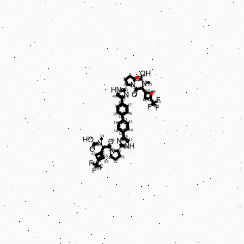 C[C@H]1CC[C@@H](c2nc(-c3ccc(-c4ccc(-c5c[nH]c([C@@H]6CC[C@H](C)N6C(=O)[C@@H](N(C)C(=O)O)C67CC(C(F)(F)F)(C6)C7)n5)cc4)cc3)c[nH]2)N1C(=O)[C@@H](N(C)C(=O)O)C12CC(C(F)(F)F)(C1)C2